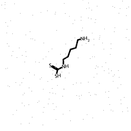 NCCCCCNC(=S)S